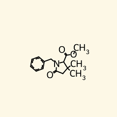 COC(=O)C1N(Cc2ccccc2)C(=O)CC1(C)C